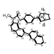 CC(=O)N1[C@@H]2CC[C@H]1C=C(c1ccc(-n3c(=O)n(C)c4cnc5ccc(-c6cnc7ccccc7c6)cc5c43)cc1)C2